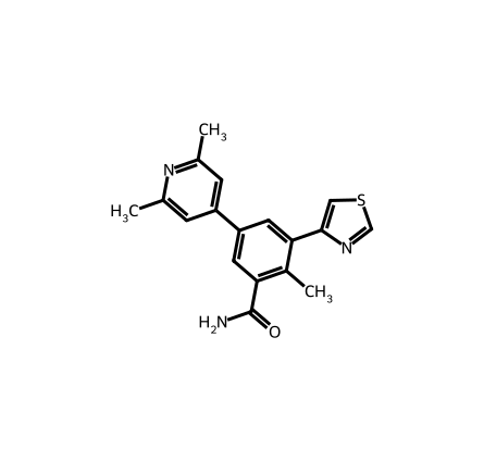 Cc1cc(-c2cc(C(N)=O)c(C)c(-c3cscn3)c2)cc(C)n1